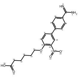 N=C(N)c1ccc(-c2ccc(OCCCCCC(=O)O)c([N+](=O)[O-])c2)cc1